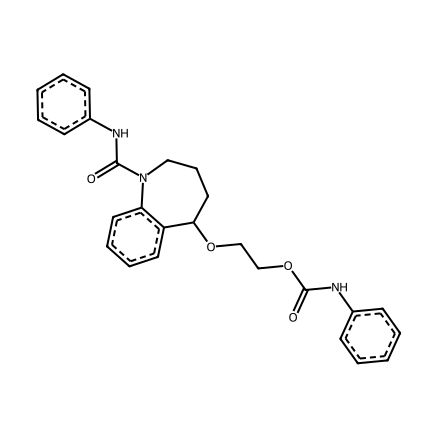 O=C(Nc1ccccc1)OCCOC1CCCN(C(=O)Nc2ccccc2)c2ccccc21